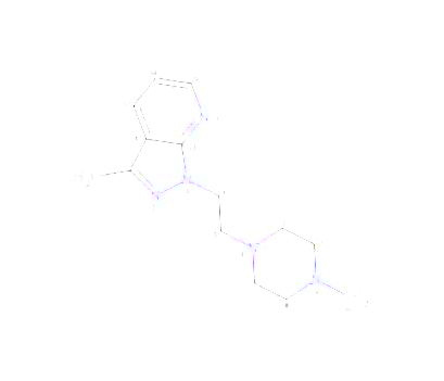 Cc1nn(CCN2CCN(C)CC2)c2ncccc12